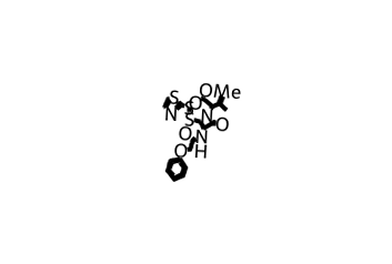 C=C(C)C(C(=O)OC)N1C(=O)C(NC(=O)COc2ccccc2)C1SSc1nccs1